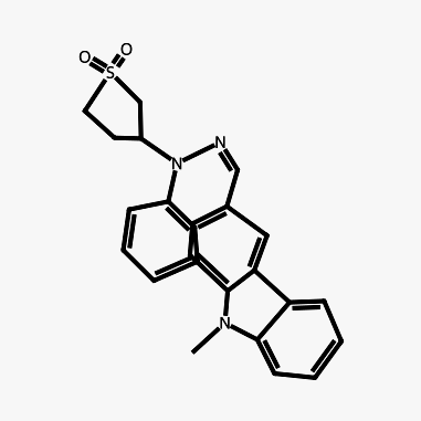 Cn1c2ccccc2c2cc(/C=N\N(c3ccccc3)C3CCS(=O)(=O)C3)ccc21